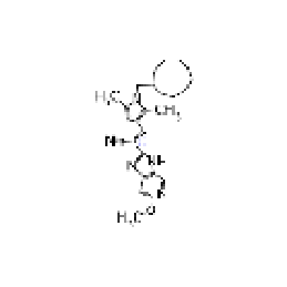 COc1cc2nc(/C(C#N)=C/c3cc(C)n(CC4CCCCCCCC4)c3C)[nH]c2cn1